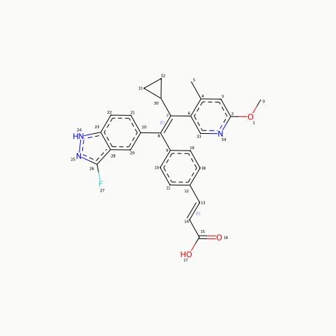 COc1cc(C)c(/C(=C(\c2ccc(/C=C/C(=O)O)cc2)c2ccc3[nH]nc(F)c3c2)C2CC2)cn1